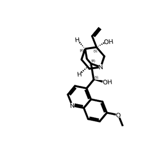 C=C[C@@]1(O)CN2CC[C@@H]1C[C@@H]2[C@@H](O)c1ccnc2ccc(OC)cc12